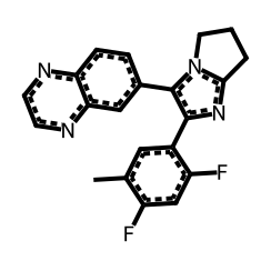 Cc1cc(-c2nc3n(c2-c2ccc4nccnc4c2)CCC3)c(F)cc1F